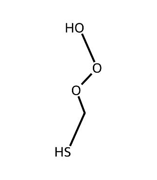 OOOCS